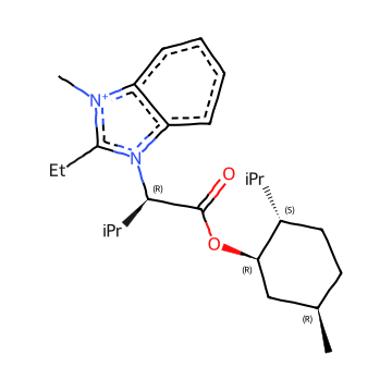 CCc1n([C@@H](C(=O)O[C@@H]2C[C@H](C)CC[C@H]2C(C)C)C(C)C)c2ccccc2[n+]1C